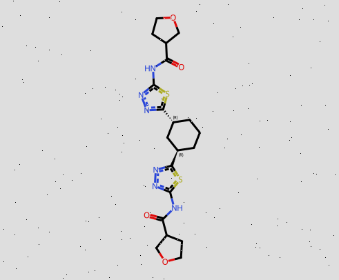 O=C(Nc1nnc([C@@H]2CCC[C@@H](c3nnc(NC(=O)C4CCOC4)s3)C2)s1)C1CCOC1